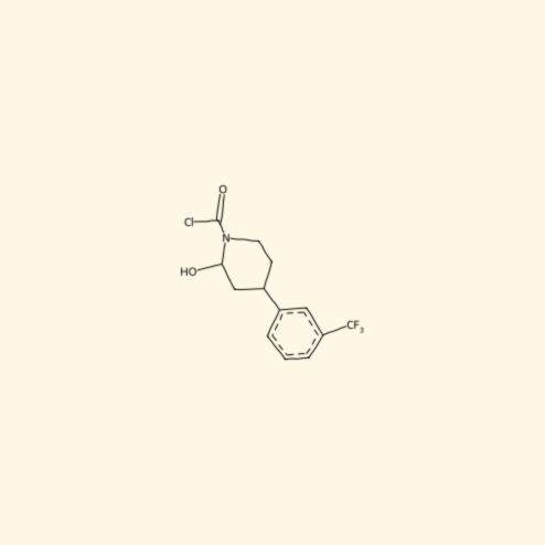 O=C(Cl)N1CCC(c2cccc(C(F)(F)F)c2)CC1O